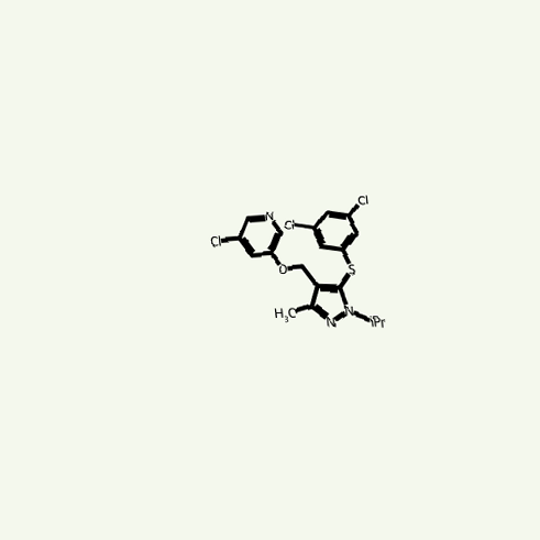 Cc1nn(C(C)C)c(Sc2cc(Cl)cc(Cl)c2)c1COc1cncc(Cl)c1